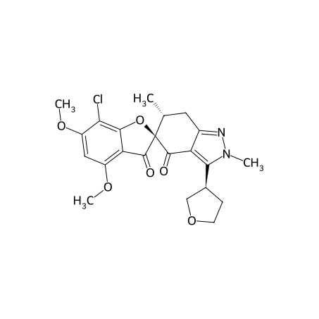 COc1cc(OC)c2c(c1Cl)O[C@]1(C2=O)C(=O)c2c(nn(C)c2[C@H]2CCOC2)C[C@H]1C